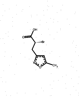 Cc1cc(C[C@@H](Br)C(=O)O)no1